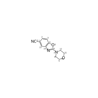 N#Cc1ccc2oc(N3CCOCC3)nc2c1